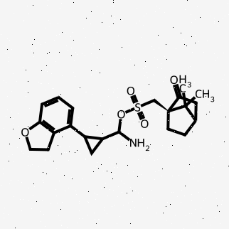 CC1(C)C2CC[C@]1(CS(=O)(=O)OC(N)C1CC1c1cccc3c1CCO3)C(=O)C2